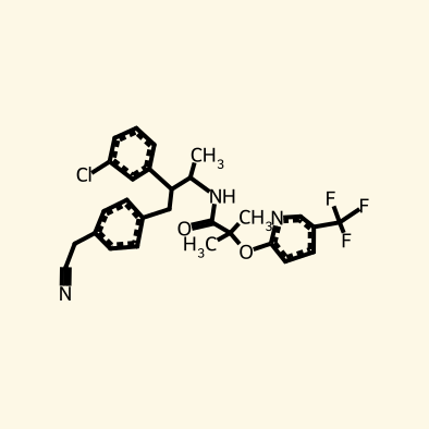 CC(NC(=O)C(C)(C)Oc1ccc(C(F)(F)F)cn1)C(Cc1ccc(CC#N)cc1)c1cccc(Cl)c1